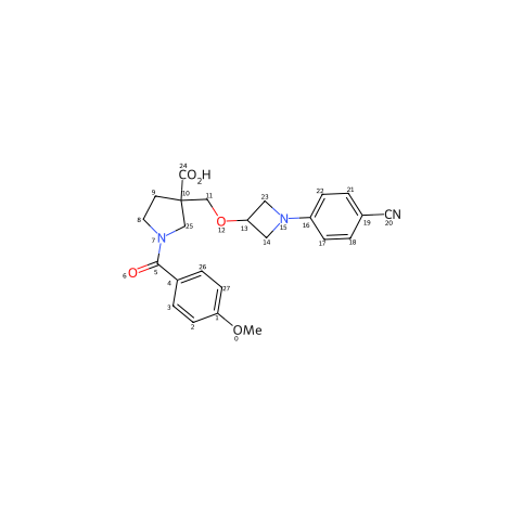 COc1ccc(C(=O)N2CCC(COC3CN(c4ccc(C#N)cc4)C3)(C(=O)O)C2)cc1